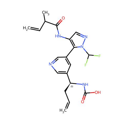 C=CC[C@H](NC(=O)O)c1cncc(-c2c(NC(=O)C(C)C=C)cnn2C(F)F)c1